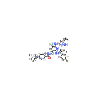 CC(Nc1nc(Nc2cc(C3CC3)[nH]n2)c(F)cc1CNC(=O)c1ccc(N(C)C)nc1)c1ccc(F)cc1